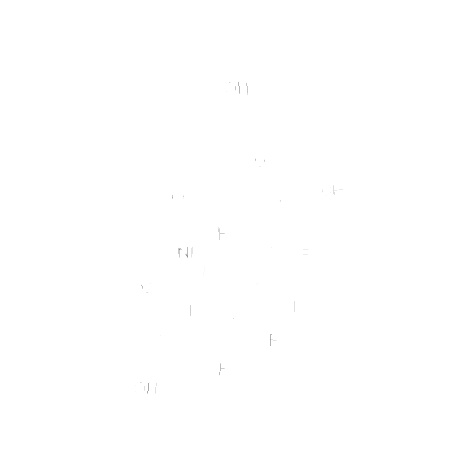 O=C(O)C(F)(F)C(F)(F)C(F)(F)F.OCCONOCCO